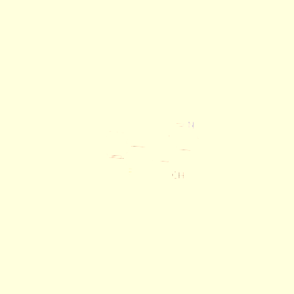 CC(CCc1ccccc1F)c1ccncc1